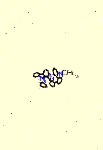 Cn1c2cccc3c4cccc5c6c7c(ccc6n(c6cccc1c6c32)c45)c1ccccc1n7-c1ccccc1